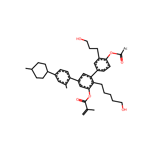 C=C(C)C(=O)Oc1cc(-c2ccc(C3CCC(C)CC3)cc2C)cc(-c2ccc(OC(=O)C(C)=O)c(CCCO)c2)c1CCCCCO